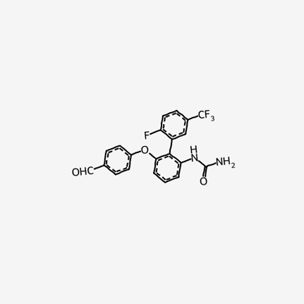 NC(=O)Nc1cccc(Oc2ccc(C=O)cc2)c1-c1cc(C(F)(F)F)ccc1F